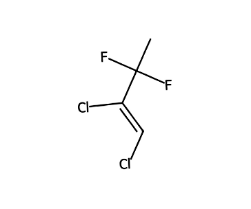 CC(F)(F)C(Cl)=CCl